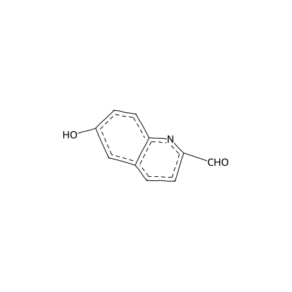 O=Cc1ccc2cc(O)ccc2n1